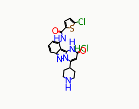 Cl.O=C(Nc1cccc2nn3c(C4CCNCC4)cc(=O)[nH]c3c12)c1ccc(Cl)s1